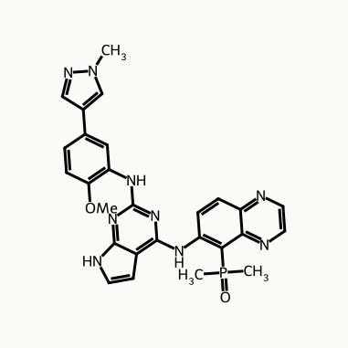 COc1ccc(-c2cnn(C)c2)cc1Nc1nc(Nc2ccc3nccnc3c2P(C)(C)=O)c2cc[nH]c2n1